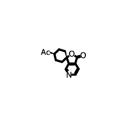 CC(=O)[C@H]1CC[C@@]2(CC1)OC(=O)c1ccncc12